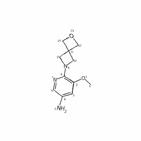 COc1cc(N)cnc1N1CC2(COC2)C1